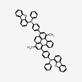 Cc1cc(-c2ccc(N(c3ccccc3)c3cccc4c3oc3ccccc34)cc2)c2c3ccccc3c3c(C)cc(-c4ccc(N(c5ccccc5)c5cccc6c5oc5ccccc56)cc4)c4ccc1c2c43